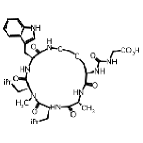 CC(C)C[C@@H]1NC(=O)[C@H](C)NC(=O)[C@H](NC(=O)NCC(=O)O)CCCCNC(=O)[C@H](Cc2c[nH]c3ccccc23)NC(=O)[C@H](CC(C)C)N(C)C1=O